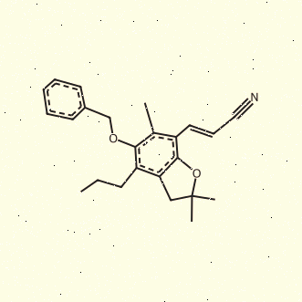 CCCc1c2c(c(C=CC#N)c(C)c1OCc1ccccc1)OC(C)(C)C2